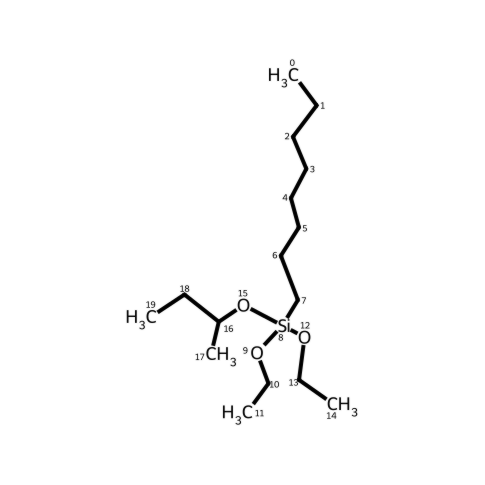 CCCCCCCC[Si](OCC)(OCC)OC(C)CC